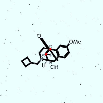 COc1ccc2c(c1)[C@]13CCN(CC4CCC4)[C@H](C2)[C@@H]1CCC(=O)C3.Cl